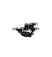 CC(CCC(O[C@@H]1O[C@H](CO)[C@@H](O)[C@H](O)[C@H]1O[C@H]1C[C@@H](O)C[C@@H](CO)O1)C(C)(C)O)C1CCC2(C)C3CC=C4C(CC[C@H](O[C@H]5C[C@@H](O)C[C@@H](CO)O5)C4(C)C)C3(C)CCC12C